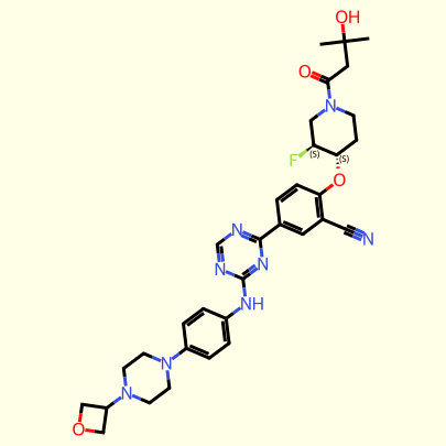 CC(C)(O)CC(=O)N1CC[C@H](Oc2ccc(-c3ncnc(Nc4ccc(N5CCN(C6COC6)CC5)cc4)n3)cc2C#N)[C@@H](F)C1